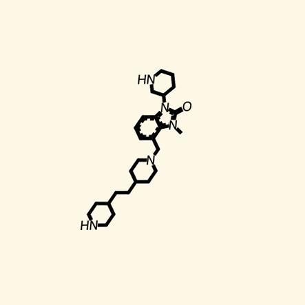 Cn1c(=O)n(C2CCCNC2)c2cccc(CN3CCC(CCC4CCNCC4)CC3)c21